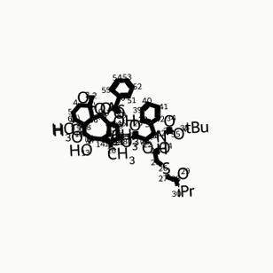 CC(=O)O[C@@]12COC1C[C@H](O)[C@@]1(C)C(=O)[C@H](O)C3=C(C)[C@@H](OC(=O)[C@H](OC(=O)CSCC(=O)C(C)C)[C@@H](NC(=O)OC(C)(C)C)c4ccccc4)C[C@@](O)([C@@H](OC(=O)c4ccccc4)C21)C3(C)C